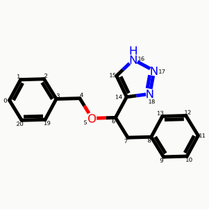 c1ccc(COC(Cc2ccccc2)c2c[nH]nn2)cc1